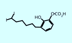 O=C(O)Oc1cccc(CCCCCC(I)I)c1O